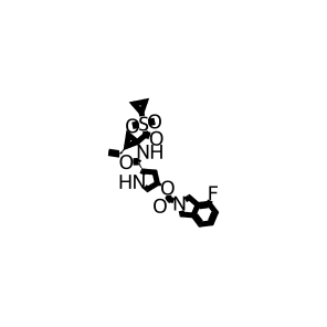 C=C[C@@H]1C[C@]1(NC(=O)[C@@H]1C[C@@H](OC(=O)N2Cc3cccc(F)c3C2)CN1)C(=O)S(=O)(=O)C1CC1